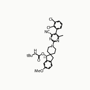 COc1ccc2c(c1)[C@@H](OC(=O)NC(C)(C)C)C1(CCN(c3nc(C)c(-c4cccc(Cl)c4Cl)c(C#N)n3)CC1)C2